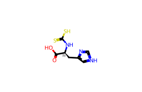 O=C(O)[C@H](Cc1c[nH]cn1)NC(=S)S